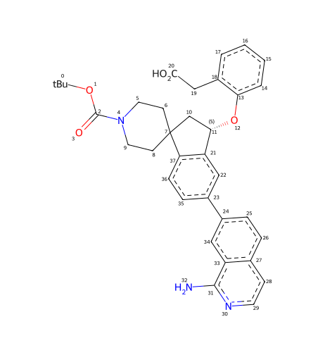 CC(C)(C)OC(=O)N1CCC2(CC1)C[C@H](Oc1ccccc1CC(=O)O)c1cc(-c3ccc4ccnc(N)c4c3)ccc12